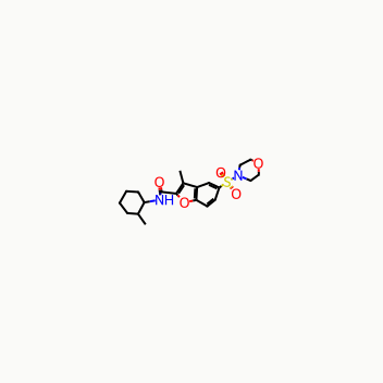 Cc1c(C(=O)NC2CCCCC2C)oc2ccc(S(=O)(=O)N3CCOCC3)cc12